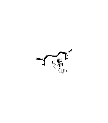 CNCCCNC.[C-]#N.[C-]#N.[Cu+2]